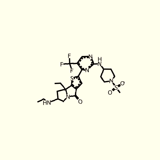 CCNC1CN2C(=O)c3cc(-c4nc(NC5CCN(S(C)(=O)=O)CC5)ncc4C(F)(F)F)sc3C2(CC)C1